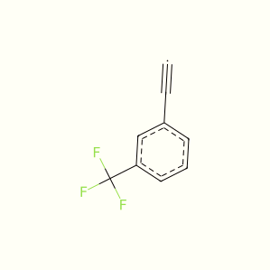 [C]#Cc1cccc(C(F)(F)F)c1